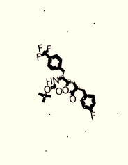 CC(C)(C)OC(=O)N[C@@H](Cc1ccc(C(F)(F)F)cc1)[C@@H]1C[C@@H](Cc2ccc(F)cc2)C(=O)O1